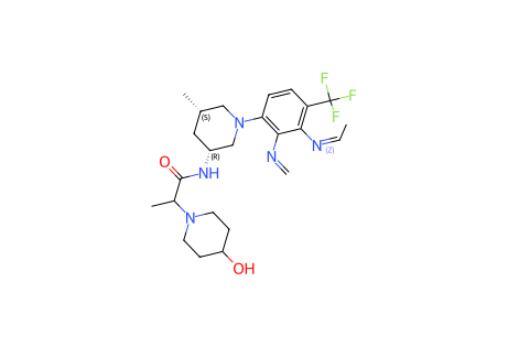 C=Nc1c(N2C[C@@H](C)C[C@@H](NC(=O)C(C)N3CCC(O)CC3)C2)ccc(C(F)(F)F)c1/N=C\C